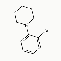 Brc1ccccc1N1CCCCC1